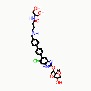 O=C(CCCNCc1ccc(-c2ccc(-c3cc4nc(O[C@@H]5COC6[C@H](O)CO[C@@H]65)[nH]c4cc3Cl)cc2)cc1)NC(CO)CO